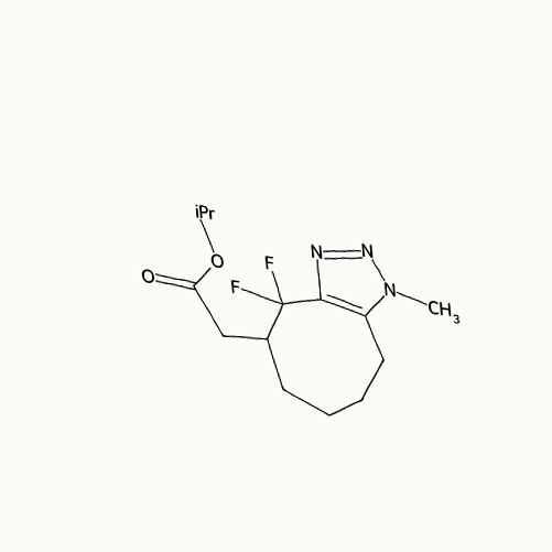 CC(C)OC(=O)CC1CCCCc2c(nnn2C)C1(F)F